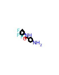 NC1CCC(C(=O)Nc2ccc(F)c(F)c2F)CC1